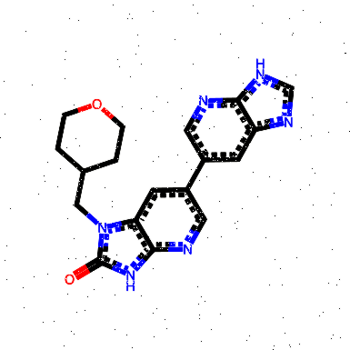 O=c1[nH]c2ncc(-c3cnc4[nH]cnc4c3)cc2n1CC1CCOCC1